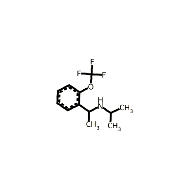 CC(C)NC(C)c1ccccc1OC(F)(F)F